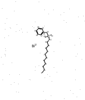 CCCCCCCCCCCC[P+](C)(C)Cc1ccccc1.[Br-]